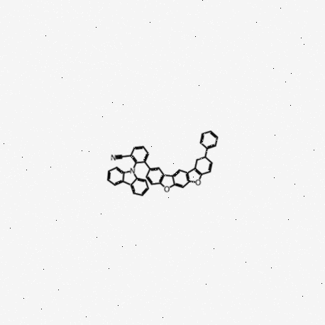 N#Cc1cccc(-c2ccc3oc4cc5oc6c(c5cc4c3c2)CC(c2ccccc2)C=C6)c1-n1c2ccccc2c2ccccc21